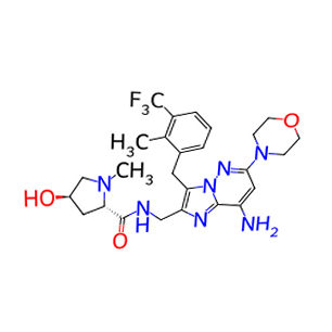 Cc1c(Cc2c(CNC(=O)[C@@H]3C[C@@H](O)CN3C)nc3c(N)cc(N4CCOCC4)nn23)cccc1C(F)(F)F